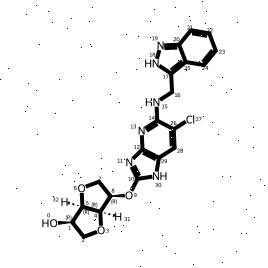 O[C@@H]1CO[C@H]2[C@@H]1OC[C@H]2Oc1nc2nc(NCc3[nH]nc4ccccc34)c(Cl)cc2[nH]1